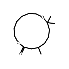 CC1CCCC(C)(C)OCCCCCCOC(=O)C1